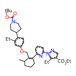 CCOC(=O)c1cnn(-c2cccc(C3=C(COc4ccc(C5CCN(C(=O)OC(C)(C)C)CC5)c(CC)c4)C(C)CCC3)n2)c1CC